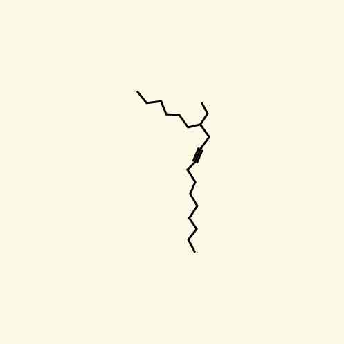 [CH2]CCCCCCCC#CCC(CC)CCCCC[CH2]